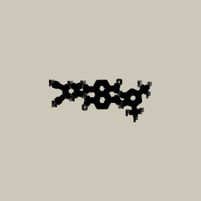 N#Cc1nc2nc3c4ccc5c(=O)n6c7cc(C(F)(F)F)cc(C(F)(F)F)c7nc6c6ccc(c(=O)n3c2nc1C#N)c4c56